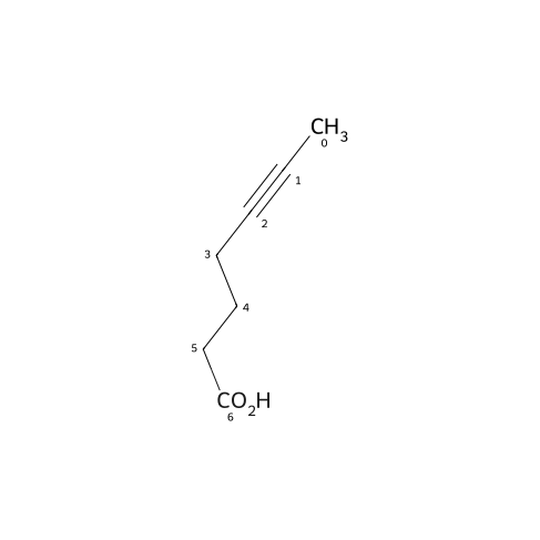 CC#CCCCC(=O)O